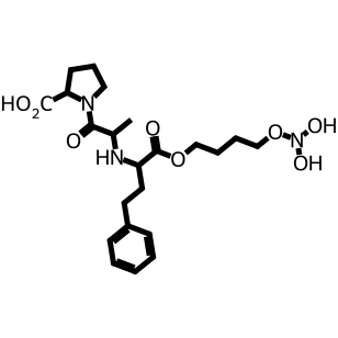 CC(NC(CCc1ccccc1)C(=O)OCCCCON(O)O)C(=O)N1CCCC1C(=O)O